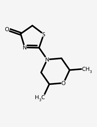 CC1CN(C2=NC(=O)CS2)CC(C)O1